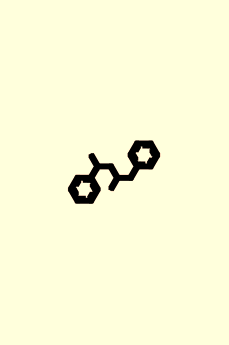 C[C](CC(C)Cc1ccccc1)c1ccccc1